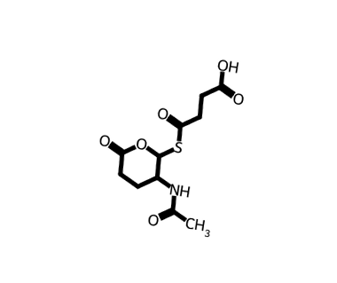 CC(=O)NC1CCC(=O)OC1SC(=O)CCC(=O)O